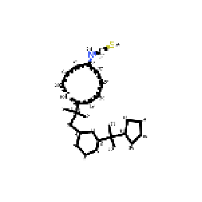 CC(C)(CC1CCCC(C(C)(C)C2CCCC2)C1)c1ccccc(N=C=S)cccc1